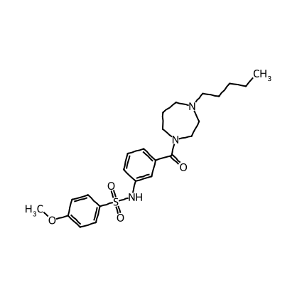 CCCCCN1CCCN(C(=O)c2cccc(NS(=O)(=O)c3ccc(OC)cc3)c2)CC1